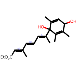 CCOC(=O)/C=C(C)/C=C/C=C(\C)C1(O)C(C)=CC(O)C(C)=C1C